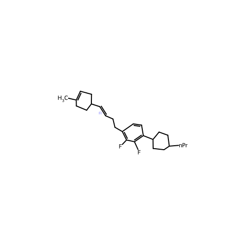 CCCC1CCC(c2ccc(CC/C=C/C3CC=C(C)CC3)c(F)c2F)CC1